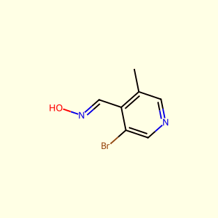 Cc1cncc(Br)c1/C=N/O